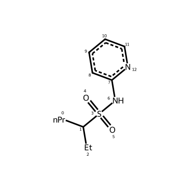 CCCC(CC)S(=O)(=O)Nc1ccccn1